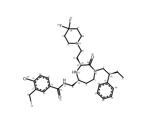 CC[C@H](CN1CC[C@@H](CNC(=O)c2ccc(Cl)c(CI)c2)N[C@@H](CCN2CCC(F)(F)CC2)C1=O)c1ccccc1